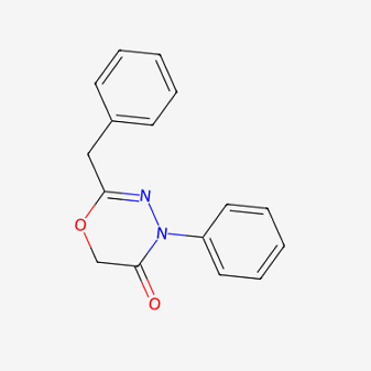 O=C1COC(Cc2ccccc2)=NN1c1ccccc1